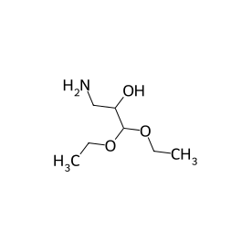 CCOC(OCC)C(O)CN